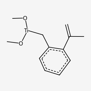 C=C(C)c1ccccc1[CH2][Ti]([O]C)[O]C